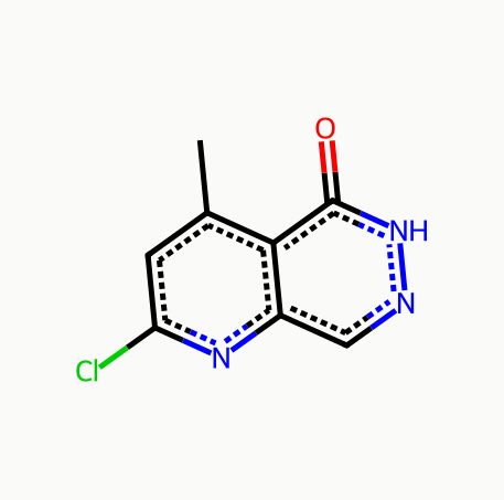 Cc1cc(Cl)nc2cn[nH]c(=O)c12